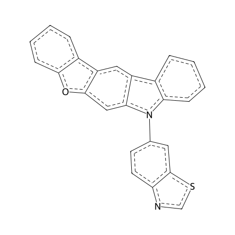 c1ccc2c(c1)oc1cc3c(cc12)c1ccccc1n3-c1ccc2ncsc2c1